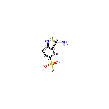 CS(=O)(=O)c1ccc2nsc(N)c2c1